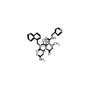 C[C@H]1[C@H]2N(C(=O)CN(C)N2C(=O)NCc2ccncc2)[C@@H](CC(N)=O)C(=O)N1Cc1cccc2ccccc12